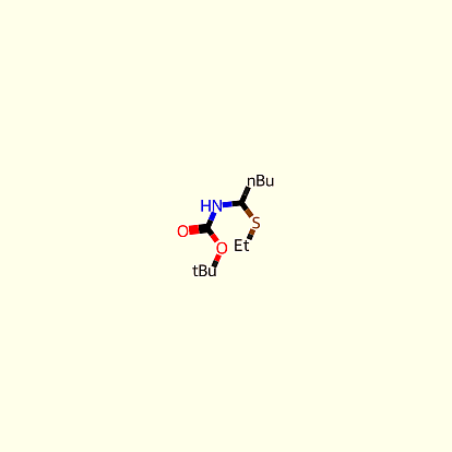 CCCCC(NC(=O)OC(C)(C)C)SCC